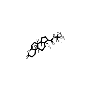 CC(C)(C)NC(=O)C1CC[C@H]2[C@@H]3CC=C4OC(=O)CC[C@]4(C)[C@@H]3CC[C@]12C